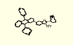 CCCn1c(-c2ccccc2)nc2cc(-c3ccc4c(-c5ccccc5)c5ccccc5c(-c5ccccc5)c4c3)ccc21